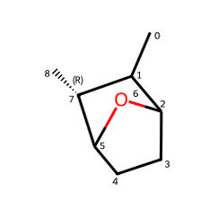 CC1C2CCC(O2)[C@@H]1C